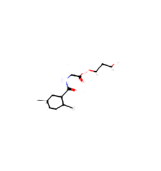 CC(C)C1CC[C@@H](C)CC1C(=O)N[C@H](C)C(=O)OCCCO